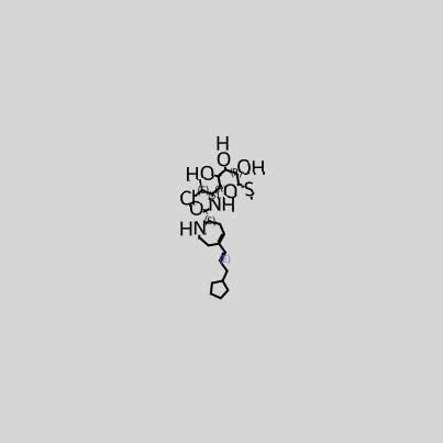 CSC1O[C@H]([C@H](NC(=O)[C@@H]2CC=C(/C=C/CC3CCCC3)CCN2)[C@H](C)Cl)C(O)C(O)[C@H]1O